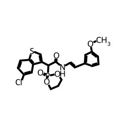 COc1cccc(/C=C/NC(=O)C(c2csc3ccc(Cl)cc23)P2(=O)OCCCO2)c1